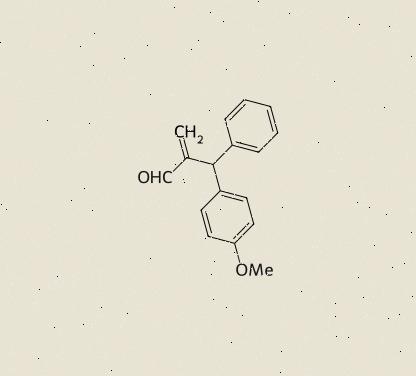 C=C(C=O)C(c1ccccc1)c1ccc(OC)cc1